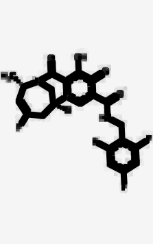 C[C@H]1C=C(F)C[C@H]2CN1C(=O)c1c(O)c(=O)c(C(=O)NCc3c(F)cc(F)cc3F)cn12